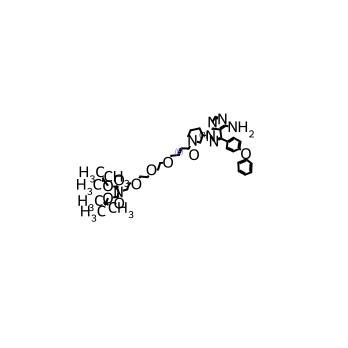 CC(C)(C)OC(=O)N(CCOCCOCCOC/C=C/C(=O)N1CCC[C@@H](n2nc(-c3ccc(Oc4ccccc4)cc3)c3c(N)ncnc32)C1)C(=O)OC(C)(C)C